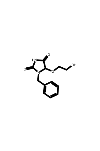 O=C1NC(=O)N(Cc2ccccc2)C1OCCO